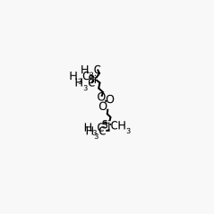 CC[Si](C)(CC)CCCOC(=O)OCCC[Si](C)(CC)CC